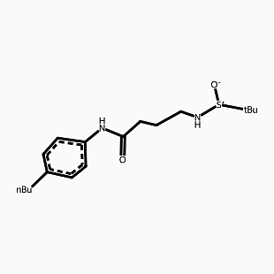 CCCCc1ccc(NC(=O)CCCN[S+]([O-])C(C)(C)C)cc1